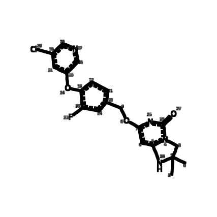 CC1(C)Cn2c(cc(OCc3ccc(Oc4cncc(Cl)c4)c(F)c3)nc2=O)N1